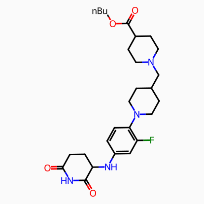 CCCCOC(=O)C1CCN(CC2CCN(c3ccc(NC4CCC(=O)NC4=O)cc3F)CC2)CC1